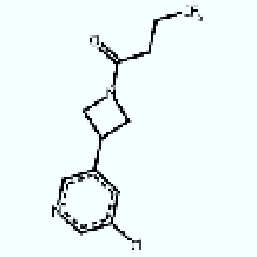 O=C(CCC(F)(F)F)N1CC(c2cncc(Cl)c2)C1